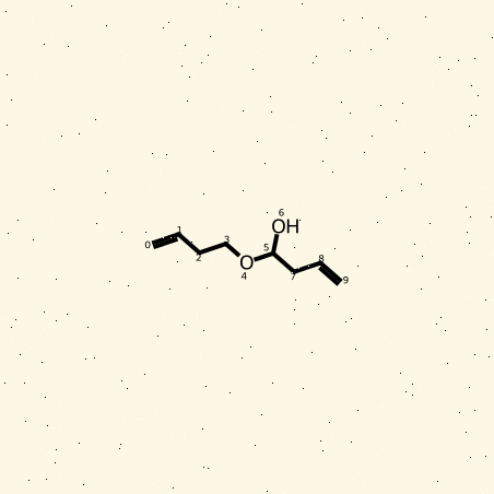 C=CCCOC(O)CC=C